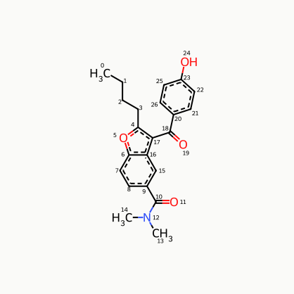 CCCCc1oc2ccc(C(=O)N(C)C)cc2c1C(=O)c1ccc(O)cc1